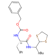 CCCCC(NC(=O)[C@H](CC(C)C)NC(=O)OCc1ccccc1)C1SCCS1